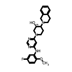 COc1ccc(F)cc1Nc1cc(N2CCC(N3CCc4ccccc4C3)[C@H](O)C2)ncn1